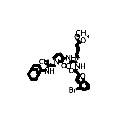 COC(=O)/C=C/CC[C@H](NC(=O)c1cc2c(Br)cccc2o1)C(=O)Nc1cccn(CC(=O)NC2C(C)CC3CCCC2C3)c1=O